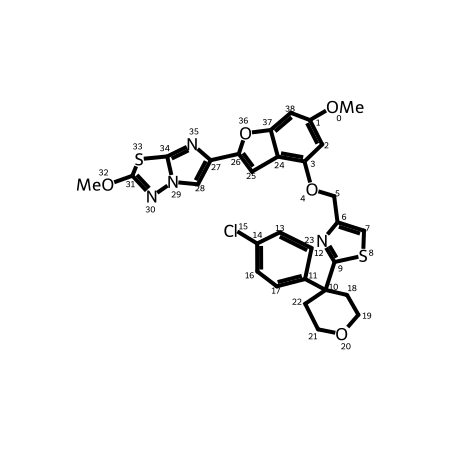 COc1cc(OCc2csc(C3(c4ccc(Cl)cc4)CCOCC3)n2)c2cc(-c3cn4nc(OC)sc4n3)oc2c1